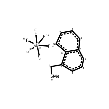 C[SH+]Cc1cccc2ccccc12.[F][Sb-]([F])([F])([F])([F])[F]